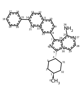 C[C@H]1CC[C@H](c2nc(-c3ccc4ccc(-c5ccccc5)nc4c3)c3c(N)nccn32)CC1